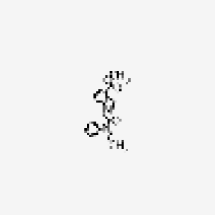 CCCN(C(=O)Cn1ccc2c(C(=O)OC)cccc21)c1ccccc1